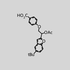 CC(=O)OC(COc1ccc(C(=O)O)cc1)c1cc2cc(C(C)(C)C)ccc2o1